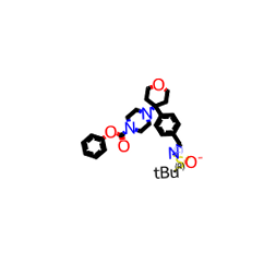 CC(C)(C)[S@+]([O-])/N=C/c1ccc(C2(N3CCN(C(=O)Oc4ccccc4)CC3)CCOCC2)cc1